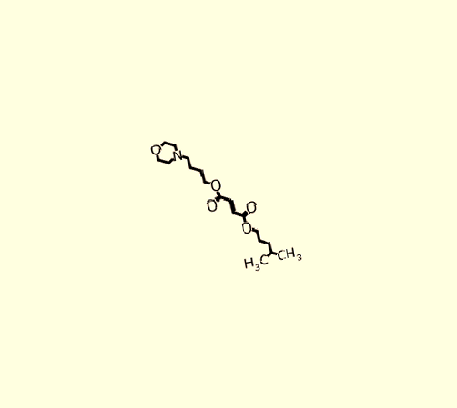 CC(C)CCCOC(=O)/C=C/C(=O)OCCCCN1CCOCC1